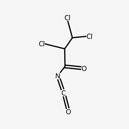 O=C=NC(=O)C(Cl)C(Cl)Cl